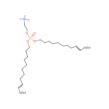 CCCCCCCCC=CCCCCCCCCOP(=O)(OCCCCCCCCC=CCCCCCCCC)OCC[N+](C)(C)C